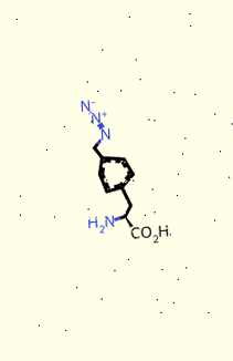 [N-]=[N+]=NCc1ccc(C[C@H](N)C(=O)O)cc1